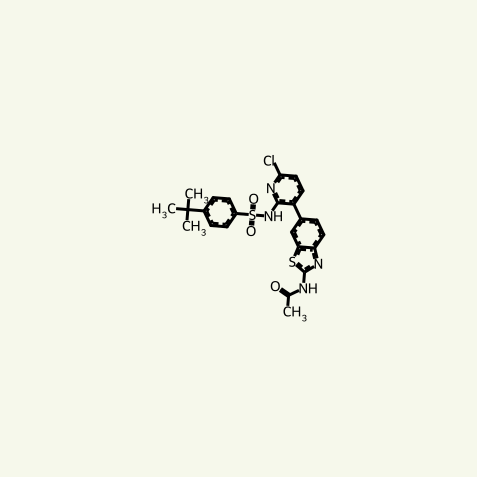 CC(=O)Nc1nc2ccc(-c3ccc(Cl)nc3NS(=O)(=O)c3ccc(C(C)(C)C)cc3)cc2s1